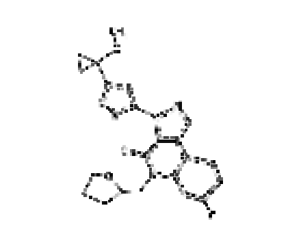 COC1(c2nc(-c3ncn4c3c(=O)n(CC3CCCO3)c3cc(Cl)ccc34)no2)CC1